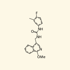 COc1ncc(CNC(=O)Nc2ccc(F)c(C)c2)c2ccccc12